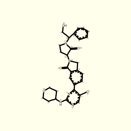 O=C1c2cc(-c3nc(NC4CCOCC4)ncc3Cl)ccc2CN1C1CCN(C(CO)c2ccccc2)C1=O